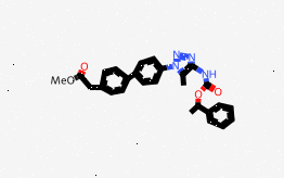 COC(=O)Cc1ccc(-c2ccc(-n3nnc(NC(=O)OC(C)c4ccccc4)c3C)cc2)cc1